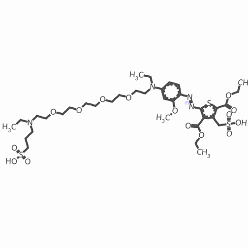 CCOC(=O)c1sc(/N=N/c2ccc(N(CC)CCOCCOCCOCCOCCN(CC)CCCS(=O)(=O)O)cc2OC)c(C(=O)OCC)c1CS(=O)(=O)O